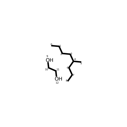 CCCCC(C)CCC.OCCO